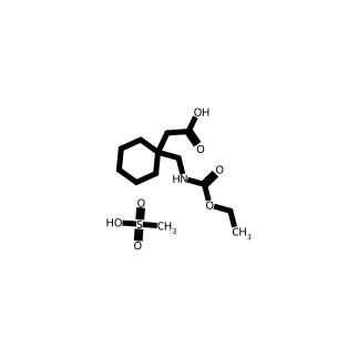 CCOC(=O)NCC1(CC(=O)O)CCCCC1.CS(=O)(=O)O